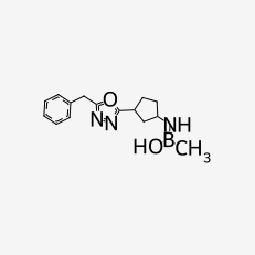 CB(O)NC1CCC(c2nnc(Cc3ccccc3)o2)C1